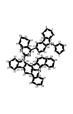 c1ccc(-n2c3ccccc3c3cc(-c4nc(-n5c6ccccc6c6cc7c8ccccc8n8c9c%10ccccc%10ccc9c(c65)c78)nc5ccccc45)ccc32)cc1